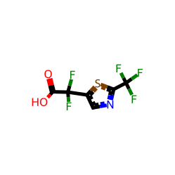 O=C(O)C(F)(F)c1cnc(C(F)(F)F)s1